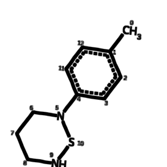 Cc1ccc(N2CCCNS2)cc1